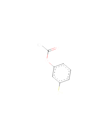 CCC(=O)Oc1cccc(S)c1